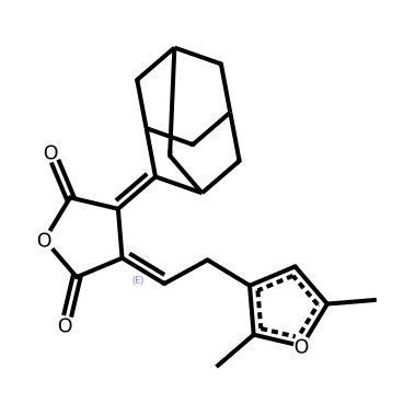 Cc1cc(C/C=C2/C(=O)OC(=O)C2=C2C3CC4CC(C3)CC2C4)c(C)o1